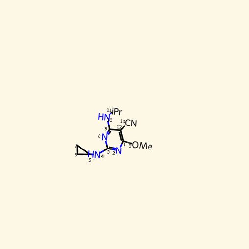 COc1nc(NC2CC2)nc(NC(C)C)c1C#N